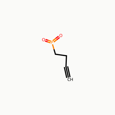 C#CCCP(=O)=O